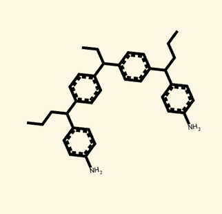 CCCC(c1ccc(N)cc1)c1ccc(C(CC)c2ccc(C(CCC)c3ccc(N)cc3)cc2)cc1